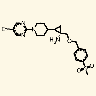 CCc1cnc(N2CCC([C@H]3C[C@@]3(N)COCc3ccc(S(C)(=O)=O)cc3)CC2)nc1